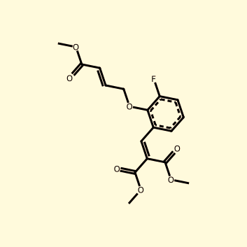 COC(=O)/C=C/COc1c(F)cccc1C=C(C(=O)OC)C(=O)OC